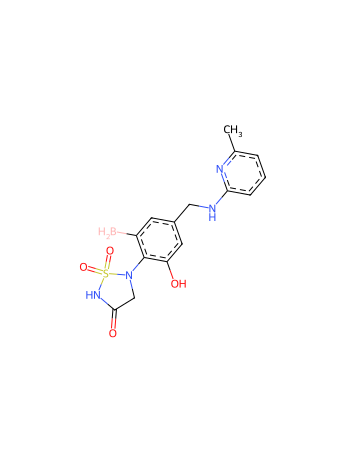 Bc1cc(CNc2cccc(C)n2)cc(O)c1N1CC(=O)NS1(=O)=O